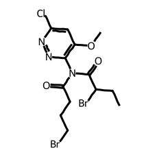 CCC(Br)C(=O)N(C(=O)CCCBr)c1nnc(Cl)cc1OC